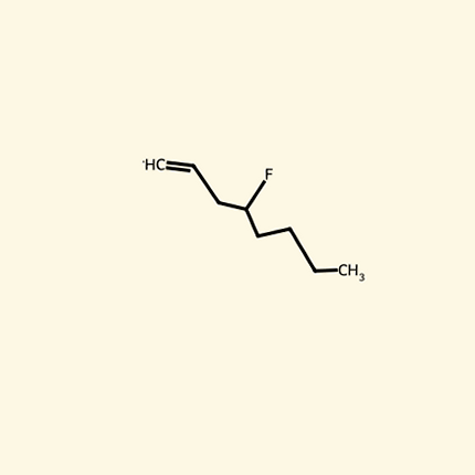 [CH]=CCC(F)CCCC